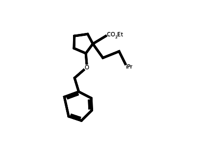 CCOC(=O)C1(CCC(C)C)CCCC1OCc1ccccc1